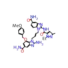 CCn1nc(C)cc1C(=O)Nc1nc2cc(C(N)=O)ccc2n1C/C=C/Cn1c(N)nc2cc(C(N)=O)cc(OCc3ccc(OC)cc3)c21